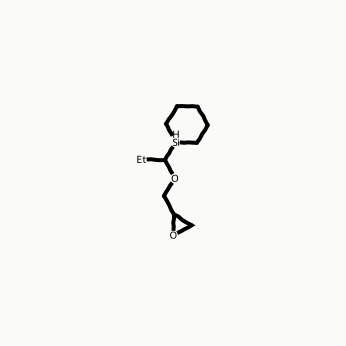 CCC(OCC1CO1)[SiH]1CCCCC1